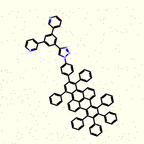 c1ccc(-c2c(-c3ccccc3)c(-c3ccccc3)c3c4cccc5c6c(-c7ccccc7)c(-c7ccc(-n8cc(-c9cc(-c%10cccnc%10)cc(-c%10cccnc%10)c9)nn8)cc7)cc(-c7ccccc7)c6c6cccc(c3c2-c2ccccc2)c6c54)cc1